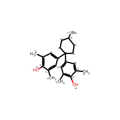 Cc1cc(C2(c3cc(C)c(O)c(C)c3)CCC(C(C)(C)C)CC2)cc(C)c1O